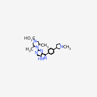 C[C@@H]1CN(C(=O)O)C[C@H](C)N1c1ncc2[nH]nc(-c3ccc(C4CCN(C)C4)cc3)c2n1